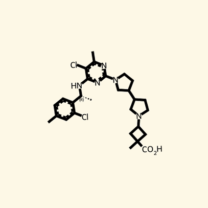 Cc1ccc([C@@H](C)Nc2nc(N3CCC(C4CCN(C5CC(C)(C(=O)O)C5)C4)C3)nc(C)c2Cl)c(Cl)c1